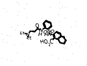 CCN(CC)CCC(=O)Nc1ccccc1S(=O)(=O)Nc1ccc2c(c1C(=O)O)CCCC2